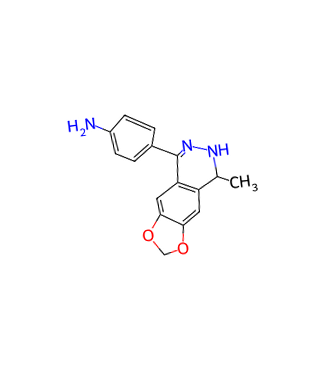 CC1NN=C(c2ccc(N)cc2)c2cc3c(cc21)OCO3